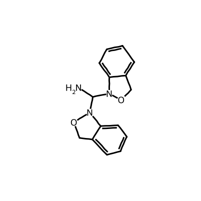 NC(N1OCc2ccccc21)N1OCc2ccccc21